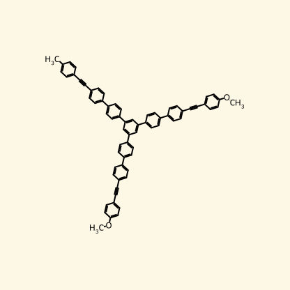 COc1ccc(C#Cc2ccc(-c3ccc(-c4cc(-c5ccc(-c6ccc(C#Cc7ccc(C)cc7)cc6)cc5)cc(-c5ccc(-c6ccc(C#Cc7ccc(OC)cc7)cc6)cc5)c4)cc3)cc2)cc1